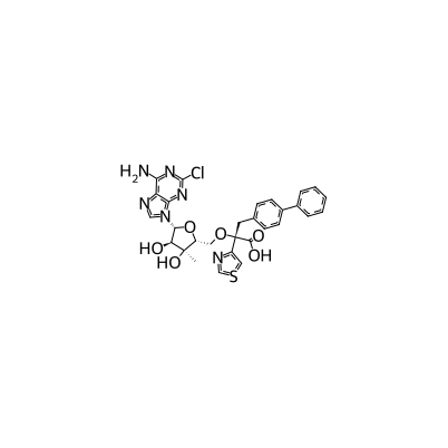 C[C@@]1(O)[C@@H](CO[C@](Cc2ccc(-c3ccccc3)cc2)(C(=O)O)c2cscn2)O[C@@H](n2cnc3c(N)nc(Cl)nc32)[C@@H]1O